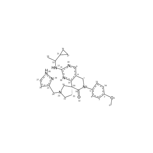 COc1ccc(N2Cc3cnc(NC(C)C4CC4)nc3[C@@]3(CCN(Cc4cc[nH]n4)C3)C2=O)cc1